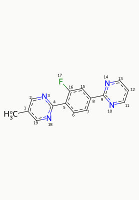 Cc1cnc(-c2ccc(-c3ncccn3)cc2F)nc1